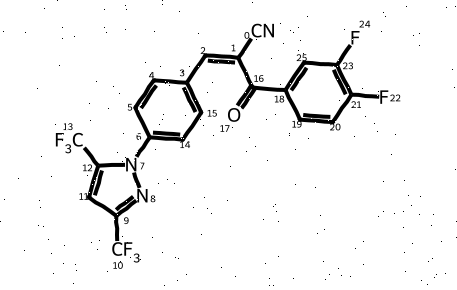 N#CC(=Cc1ccc(-n2nc(C(F)(F)F)cc2C(F)(F)F)cc1)C(=O)c1ccc(F)c(F)c1